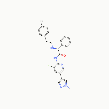 Cn1cc(-c2cnc(NC(=O)[C@@H](NCCc3ccc(C#N)cc3)c3ccccc3)c(F)c2)cn1